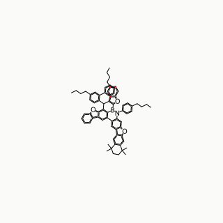 CCCCc1ccc(N2B3c4oc5ccc(CCCC)cc5c4C(c4ccc(CCCC)cc4-c4ccccc4)c4c3c(cc3c4oc4ccccc43)-c3cc4c(cc32)oc2cc3c(cc24)C(C)(C)CCC3(C)C)cc1